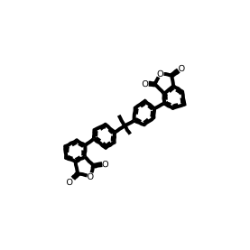 CC(C)(c1ccc(-c2cccc3c2C(=O)OC3=O)cc1)c1ccc(-c2cccc3c2C(=O)OC3=O)cc1